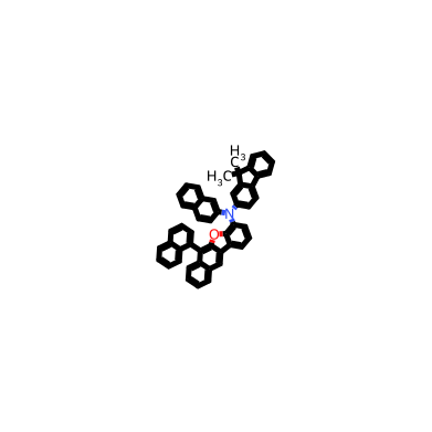 CC1(C)c2ccccc2-c2ccc(N(c3ccc4ccccc4c3)c3cccc4c3oc3c(-c5cccc6ccccc56)c5ccccc5cc34)cc21